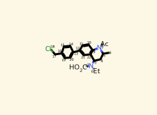 CCN(C(=O)O)C1CC(C)N(C(C)=O)c2ccc(-c3ccc(CCl)cc3)cc21